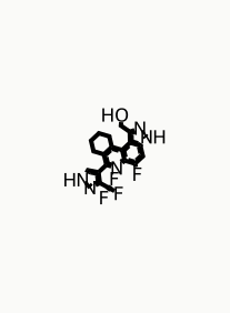 OCc1n[nH]c2cc(F)c3nc(-c4c[nH]nc4C(F)(F)F)c4c(c3c12)CCCC4